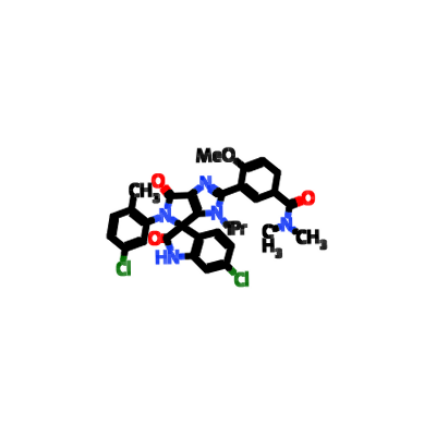 COC1=CCC(C(=O)N(C)C)C=C1c1nc2c(n1C(C)C)C1(C(=O)Nc3cc(Cl)ccc31)N(c1cc(Cl)ccc1C)C2=O